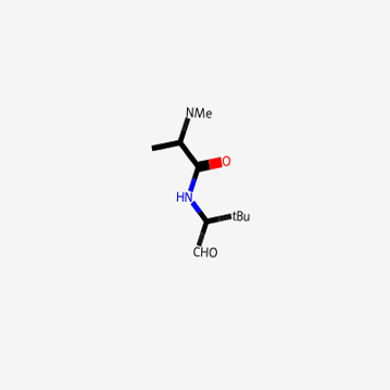 CNC(C)C(=O)NC(C=O)C(C)(C)C